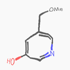 COCc1cncc(O)c1